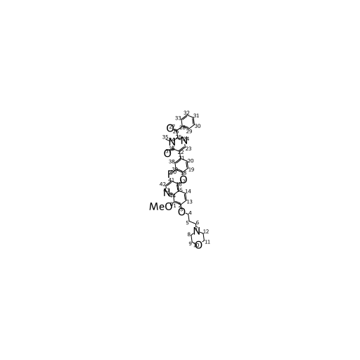 COc1c(OCCCN2CCOCC2)ccc2c(Oc3ccc(-c4cnc(C(=O)c5ccccc5)n(C)c4=O)cc3F)ccnc12